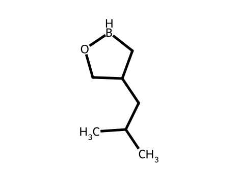 CC(C)CC1CBOC1